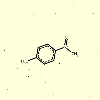 Cc1ccc([N+](C)=O)cc1